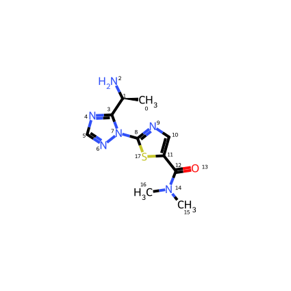 C[C@H](N)c1ncnn1-c1ncc(C(=O)N(C)C)s1